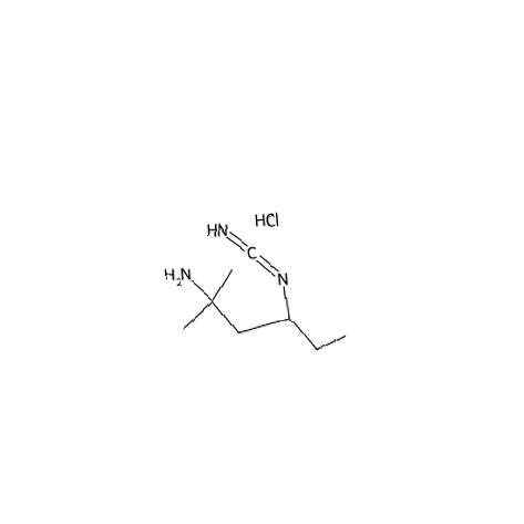 CCC(CC(C)(C)N)N=C=N.Cl